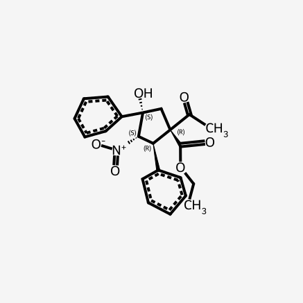 CCOC(=O)[C@]1(C(C)=O)C[C@](O)(c2ccccc2)[C@@H]([N+](=O)[O-])[C@@H]1c1ccccc1